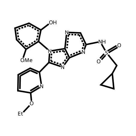 CCOC1=NC(c2nc3nc(NS(=O)(=O)CC4CC4)cnc3n2-c2c(O)cccc2OC)=C=C=C1